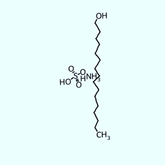 CCCCCCCCCCCCCCCCO.N.O=S(=O)(O)O